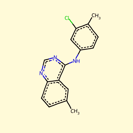 Cc1ccc2ncnc(Nc3ccc(C)c(Cl)c3)c2c1